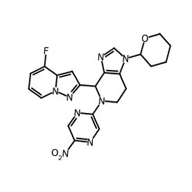 O=[N+]([O-])c1cnc(N2CCc3c(ncn3C3CCCCO3)C2c2cc3c(F)cccn3n2)cn1